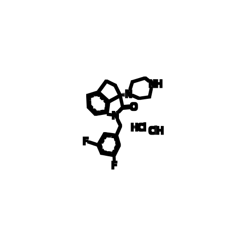 CN(Cc1cc(F)cc(F)c1)C(=O)[C@]1(N2CCNCC2)CCc2ccccc21.Cl.Cl